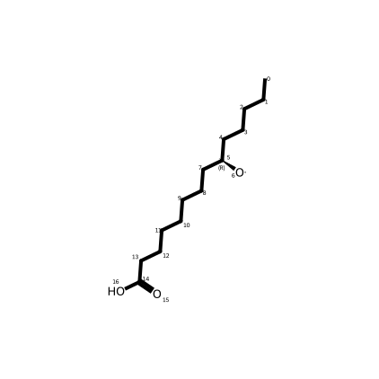 CCCCC[C@@H]([O])CCCCCCCC(=O)O